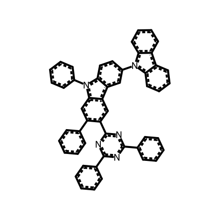 c1ccc(-c2nc(-c3ccccc3)nc(-c3cc4c5cc(-n6c7ccccc7c7ccccc76)ccc5n(-c5ccccc5)c4cc3-c3ccccc3)n2)cc1